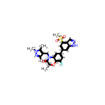 Cc1nn(C)c(C)c1CN1C(=O)[C@@H](C)Oc2c(F)cc(-c3cc(S(C)(=O)=O)c4cn[nH]c4c3)cc21